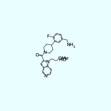 COCCn1c(C(=O)N2CCC(c3cc(CN)ccc3F)CC2)cc2cnccc21.Cl